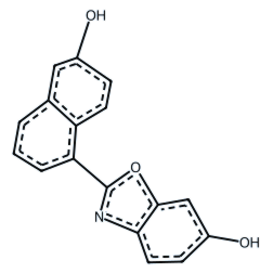 Oc1ccc2c(-c3nc4ccc(O)cc4o3)cccc2c1